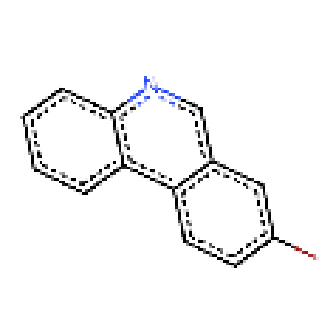 Brc1ccc2c(cnc3ccccc32)c1